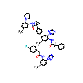 CC(C)(C(=O)Nc1cc(C(F)(F)F)ccc1-n1cncn1)c1ccccc1.O=C(Cc1ccc(F)cc1)Nc1cc(C(F)(F)F)ccc1-n1cncn1.O=C(Nc1cc(C(F)(F)F)ccc1N1CCCC1)C1(c2ccccc2)CC1